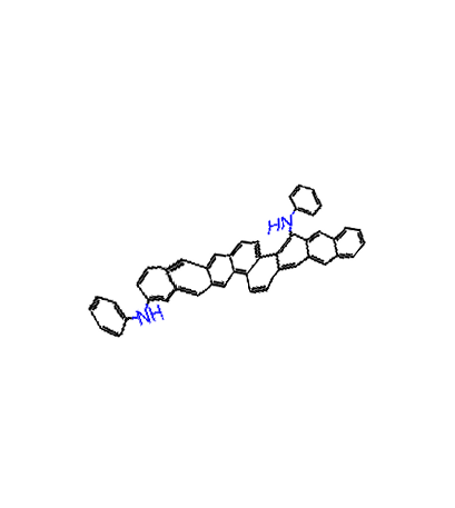 c1ccc(Nc2ccc3cc4cc5ccc6c(ccc7cc8cc9ccccc9cc8c(Nc8ccccc8)c76)c5cc4cc3c2)cc1